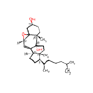 CC(C)CCCC(C)[C@H]1CC[C@H]2C3=C[C@@H]4OC45C[C@@H](O)CC[C@]5(C)[C@@]3(O)CC[C@]12C